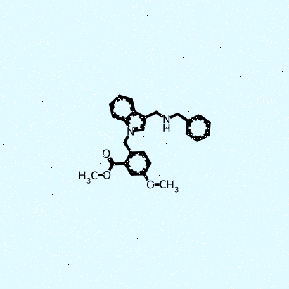 COC(=O)c1cc(OC)ccc1Cn1cc(CNCc2ccccc2)c2ccccc21